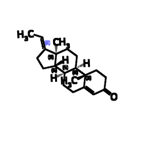 C/C=C1\CC[C@H]2[C@@H]3CCC4=CC(=O)CC[C@@]4(C)[C@@H]3CC[C@]12C